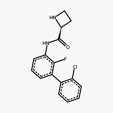 O=C(Nc1cccc(-c2ccccc2Cl)c1F)[C@@H]1CCN1